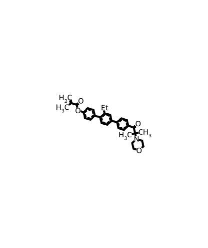 C=C(C)C(=O)Oc1ccc(-c2ccc(-c3ccc(C(=O)C(C)(C)N4CCOCC4)cc3)cc2CC)cc1